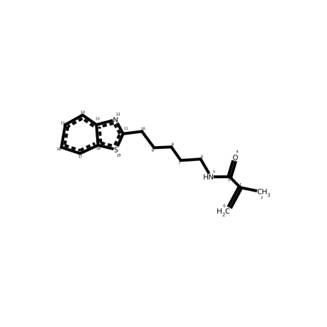 C=C(C)C(=O)NCCCCCc1nc2ccccc2s1